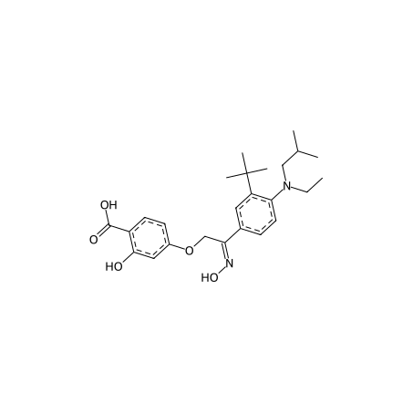 CCN(CC(C)C)c1ccc(/C(COc2ccc(C(=O)O)c(O)c2)=N/O)cc1C(C)(C)C